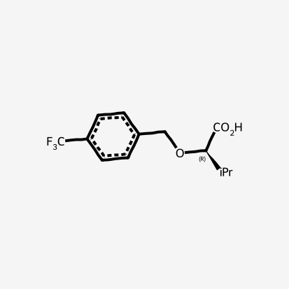 CC(C)[C@@H](OCc1ccc(C(F)(F)F)cc1)C(=O)O